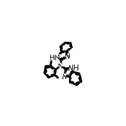 Cc1cccc(C)c1N(c1nc2ccccc2[nH]1)c1nc2ccccc2[nH]1